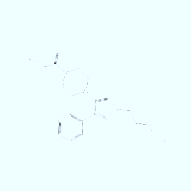 CN(C)CCn1cc(N2CCN(C(=O)OC(C)(C)C)CC2)c(-c2ccccc2)n1